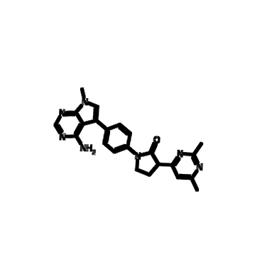 Cc1cc(C2CCN(c3ccc(-c4cn(C)c5ncnc(N)c45)cc3)C2=O)nc(C)n1